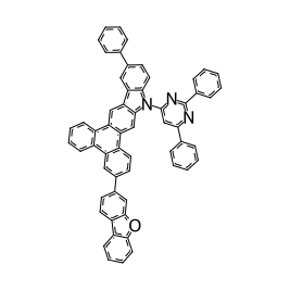 c1ccc(-c2ccc3c(c2)c2cc4c5ccccc5c5cc(-c6ccc7c(c6)oc6ccccc67)ccc5c4cc2n3-c2cc(-c3ccccc3)nc(-c3ccccc3)n2)cc1